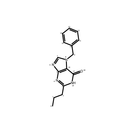 CCCc1nc2ncn(Cc3ccccc3)c2c(=O)[nH]1